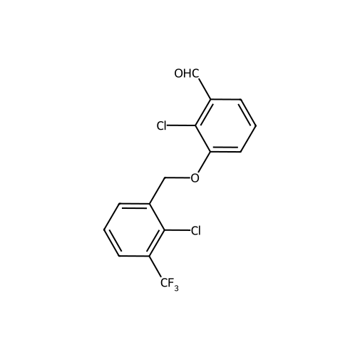 O=Cc1cccc(OCc2cccc(C(F)(F)F)c2Cl)c1Cl